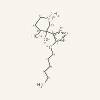 CCCCCCOc1nsnc1C1(O)CN(C)CCC1O